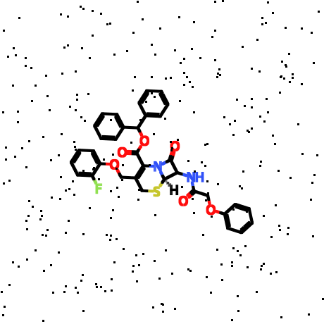 O=C(COc1ccccc1)NC1C(=O)N2C(C(=O)OC(c3ccccc3)c3ccccc3)=C(COc3ccccc3F)CS[C@H]12